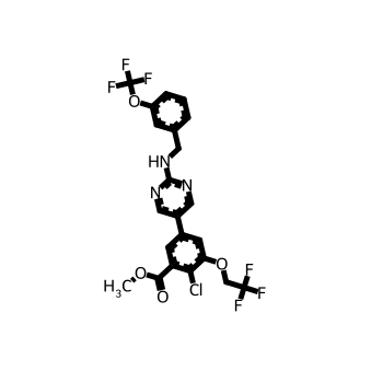 COC(=O)c1cc(-c2cnc(NCc3cccc(OC(F)(F)F)c3)nc2)cc(OCC(F)(F)F)c1Cl